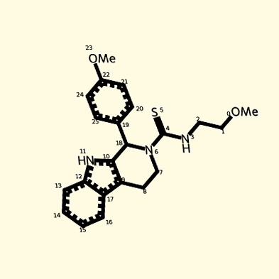 COCCNC(=S)N1CCc2c([nH]c3ccccc23)C1c1ccc(OC)cc1